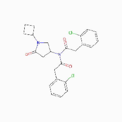 O=C1CC(N(C(=O)Cc2ccccc2Cl)C(=O)Cc2ccccc2Cl)CN1C1CCC1